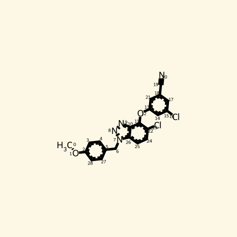 COc1ccc(Cn2nnc3c(Oc4cc(Cl)cc(C#N)c4)c(Cl)ccc32)cc1